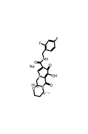 C[C@@H]1CCO[C@H]2Cn3cc(C(=O)NCc4ccc(F)cc4F)c(=O)c(O)c3C(=O)N12.[Na]